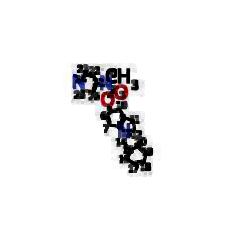 CN(C(=O)Oc1ccc2c(c1)CCN2Cc1ccccc1)c1ccncc1